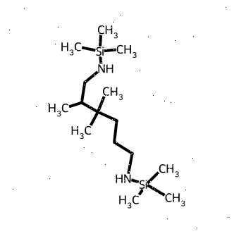 CC(CN[Si](C)(C)C)C(C)(C)CCCN[Si](C)(C)C